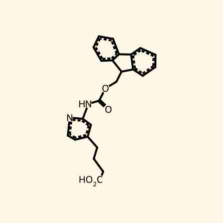 O=C(O)CCCc1ccnc(NC(=O)OCC2c3ccccc3-c3ccccc32)c1